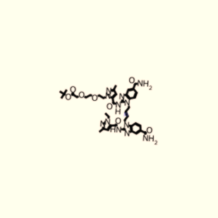 CCn1nc(C)cc1C(=O)Nc1nc2cc(C(N)=O)ccc2n1C/C=C/Cn1c(NC(=O)c2cc(C)nn2CCOCCOCC(=O)OC(C)(C)C)nc2cc(C(N)=O)ccc21